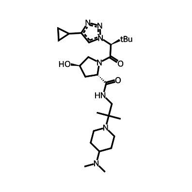 CN(C)C1CCN(C(C)(C)CNC(=O)[C@@H]2C[C@@H](O)CN2C(=O)[C@@H](n2cc(C3CC3)nn2)C(C)(C)C)CC1